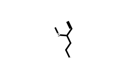 [CH2]CCC(C=C)SC